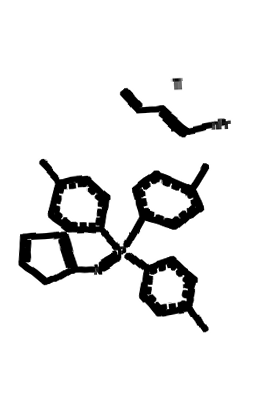 C=CC=CCCC.Cc1ccc(P(=NC2=CC=CC2)(c2ccc(C)cc2)c2ccc(C)cc2)cc1.[Ti]